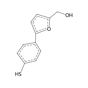 OCc1ccc(-c2ccc(S)cc2)o1